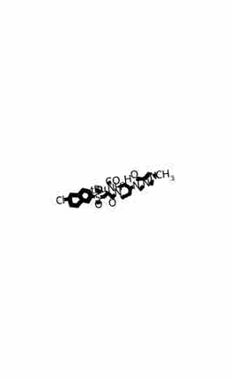 CN1C=C2C(=O)N(C3CCN(C(=O)[C@](CS(=O)(=O)c4ccc5cc(Cl)ccc5c4)(NC(=O)O)C(C)(C)C)CC3)CN2C1